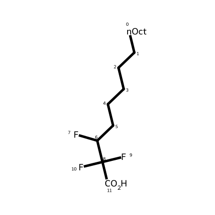 CCCCCCCCCCCCCC(F)C(F)(F)C(=O)O